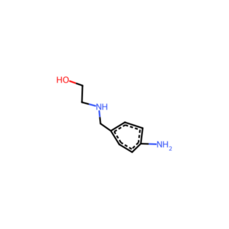 Nc1ccc(CNCCO)cc1